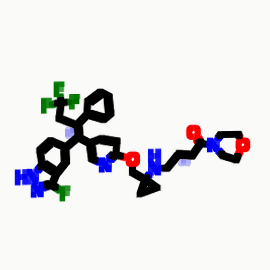 O=C(/C=C/CNC1(COc2ccc(/C(=C(/CC(F)(F)F)c3ccccc3)c3ccc4[nH]nc(F)c4c3)cn2)CC1)N1CCOCC1